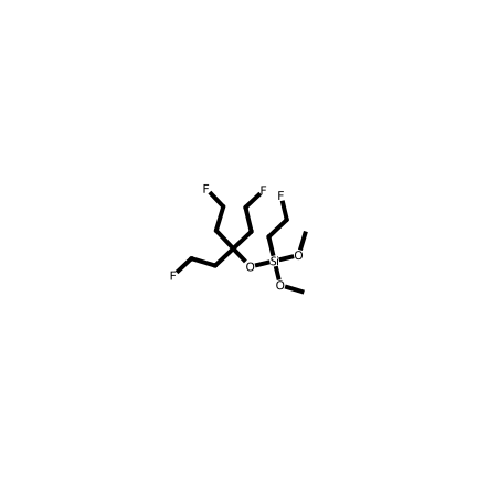 CO[Si](CCF)(OC)OC(CCF)(CCF)CCF